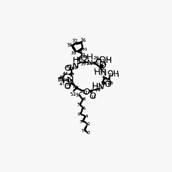 CCCCCCCCCC[C@H]1OC(=O)CNC(=O)[C@H]([C@H](C)O)NC(=O)[C@H](CO)NC(=O)[C@H](CCc2ccccc2)NC(=O)[C@H](CC(C)C)N(C)C(=O)[C@@H]1C